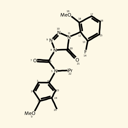 COc1ccc(N(C(=O)n2nnn(-c3c(F)cccc3OC)c2=O)C(C)C)cc1C